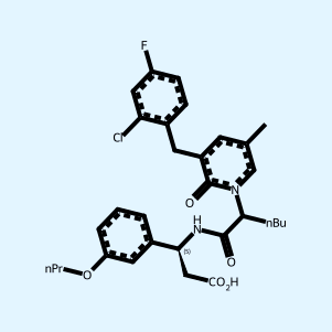 CCCCC(C(=O)N[C@@H](CC(=O)O)c1cccc(OCCC)c1)n1cc(C)cc(Cc2ccc(F)cc2Cl)c1=O